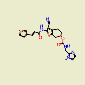 Cn1ccnc1CNC(=O)OC1CCc2c(sc(NC(=O)C=Cc3ccsc3)c2C#N)C1